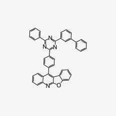 c1ccc(-c2cccc(-c3nc(-c4ccccc4)nc(-c4ccc(-c5c6ccccc6nc6oc7ccccc7c56)cc4)n3)c2)cc1